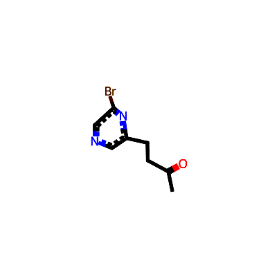 CC(=O)CCc1cncc(Br)n1